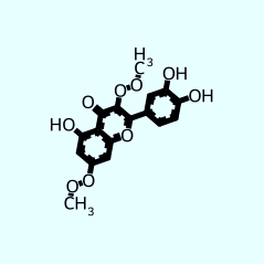 COOc1cc(O)c2c(=O)c(OOC)c(-c3ccc(O)c(O)c3)oc2c1